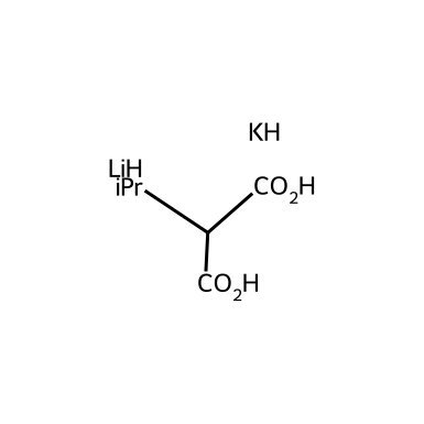 CC(C)C(C(=O)O)C(=O)O.[KH].[LiH]